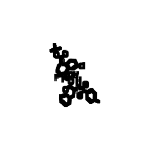 Cc1ccc(S(=O)(=O)N[C@@H](Cc2ccccc2)C(=O)OC[C@@]2(O)c3cc(Cl)ccc3N(C(=O)OC(C)(C)C)CCC2(F)F)cc1